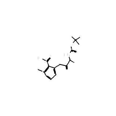 Cc1cccc(CC(=O)C(C)NC(=O)OC(C)(C)C)c1C(=O)O